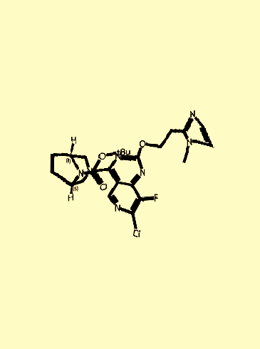 Cn1ccnc1CCOc1nc(N2C[C@H]3CC[C@@H](C2)N3C(=O)OC(C)(C)C)c2cnc(Cl)c(F)c2n1